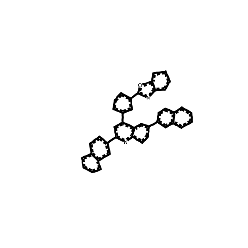 c1cc(-c2nc3ccccc3o2)cc(-c2cc(-c3ccc4ccccc4c3)nc3ccc(-c4ccc5ccccc5c4)cc23)c1